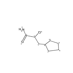 NC(=O)C(Cl)CC1CCCC1